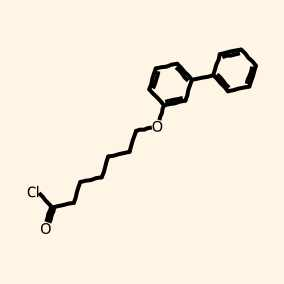 O=C(Cl)CCCCCCOc1cccc(-c2ccccc2)c1